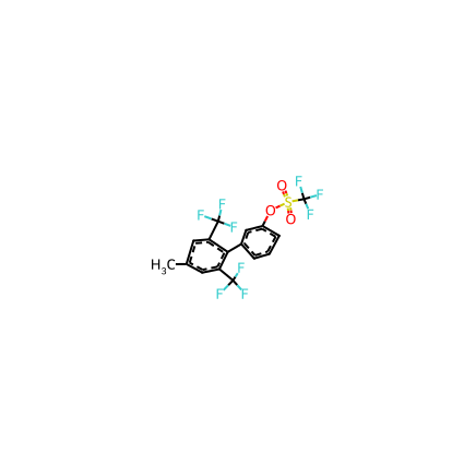 Cc1cc(C(F)(F)F)c(-c2cccc(OS(=O)(=O)C(F)(F)F)c2)c(C(F)(F)F)c1